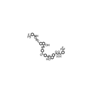 O=C(NC(=O)c1ccc2c(N=Nc3ccc(C(=O)c4ccc(N=Nc5c(O)ccc6cc(CO/N=C/ONc7cccc(C(F)(F)F)c7)ccc56)cc4)cc3)c(O)ccc2c1)Nc1cccc(C(F)(F)F)c1